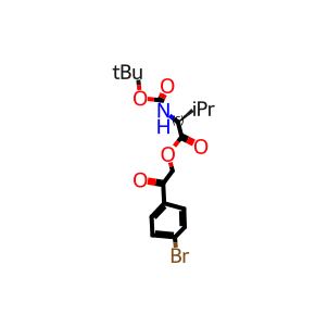 CC(C)[C@H](NC(=O)OC(C)(C)C)C(=O)OCC(=O)c1ccc(Br)cc1